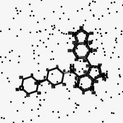 c1nc(N[C@H]2CC[C@H](N3CCOCC3)CC2)c2c(-c3ccc4nccn4n3)c[nH]c2n1